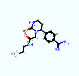 N=C(N)c1ccc(C2CCNC(=O)N2CC(=O)NCCC(=O)O)cc1